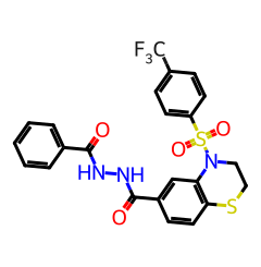 O=C(NNC(=O)c1ccc2c(c1)N(S(=O)(=O)c1ccc(C(F)(F)F)cc1)CCS2)c1ccccc1